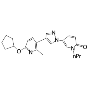 CCCn1cc(-n2cc(-c3ccc(OC4CCCC4)nc3C)cn2)ccc1=O